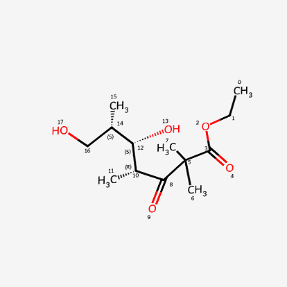 CCOC(=O)C(C)(C)C(=O)[C@H](C)[C@@H](O)[C@@H](C)CO